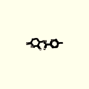 Cc1ccc(C(=O)NC2CCC(=O)NC2=O)nc1